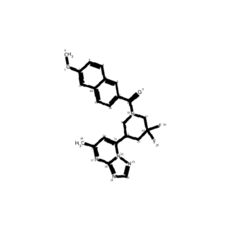 COc1ccc2cc(C(=O)N3CC(c4cc(C)nc5ncnn45)CC(F)(F)C3)ccc2c1